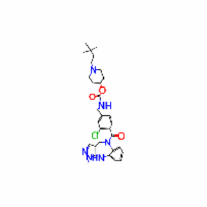 Cn1ncc2c1Nc1ccccc1N(C(=O)c1ccc(CNC(=O)OC3CCN(CCC(C)(C)C)CC3)cc1Cl)C2